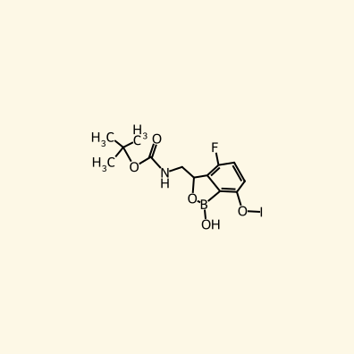 CC(C)(C)OC(=O)NCC1OB(O)c2c(OI)ccc(F)c21